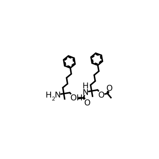 CC(=O)NC(C)(CCCCc1ccccc1)COC(C)=O.CC(N)(CO)CCCCc1ccccc1